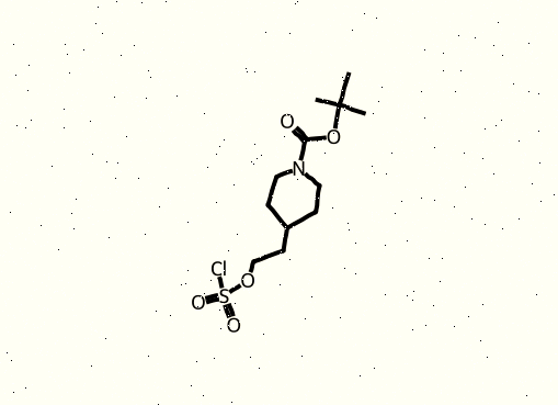 CC(C)(C)OC(=O)N1CCC(CCOS(=O)(=O)Cl)CC1